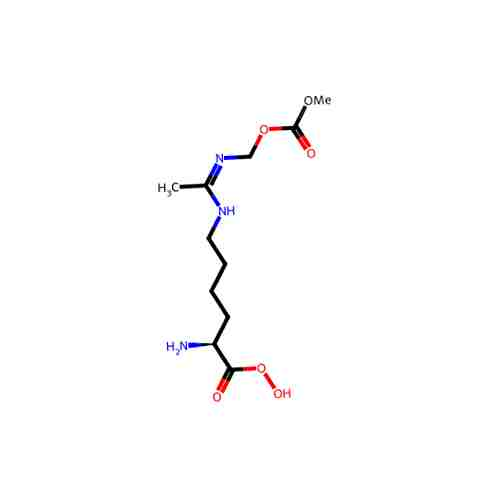 COC(=O)OCN=C(C)NCCCC[C@H](N)C(=O)OO